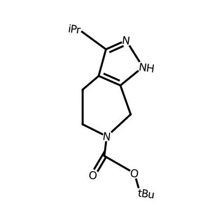 CC(C)c1n[nH]c2c1CCN(C(=O)OC(C)(C)C)C2